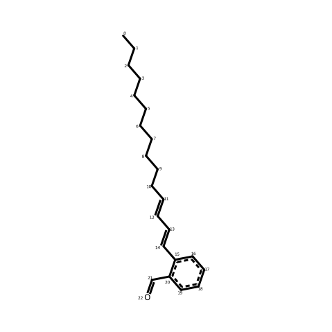 CCCCCCCCCCCC=CC=Cc1ccccc1C=O